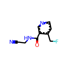 N#CCNC(=O)c1cnccc1CF